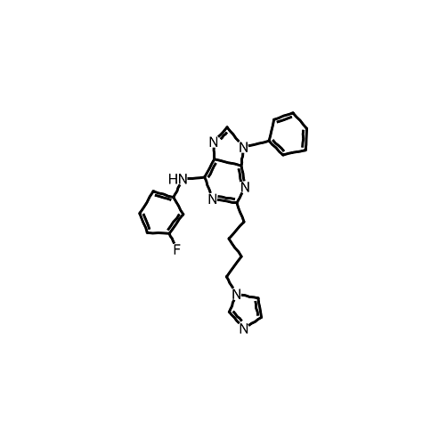 Fc1cccc(Nc2nc(CCCCn3ccnc3)nc3c2ncn3-c2ccccc2)c1